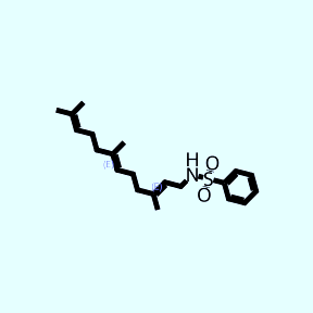 CC(C)=CCC/C(C)=C/CC/C(C)=C/CNS(=O)(=O)c1ccccc1